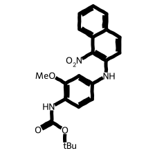 COc1cc(Nc2ccc3ccccc3c2[N+](=O)[O-])ccc1NC(=O)OC(C)(C)C